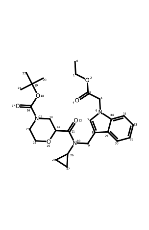 CCOC(=O)Cn1cc(CN(C(=O)C2CN(C(=O)OC(C)(C)C)CCO2)C2CC2)c2ccccc21